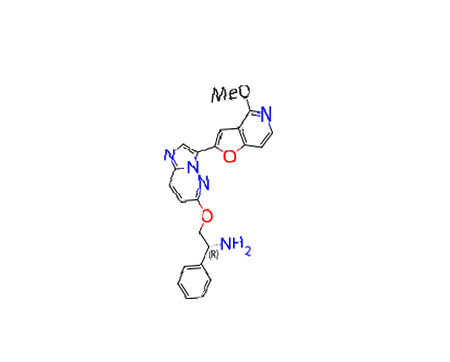 COc1nccc2oc(-c3cnc4ccc(OC[C@H](N)c5ccccc5)nn34)cc12